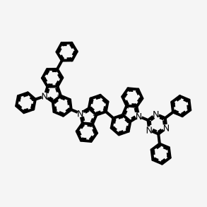 c1ccc(-c2ccc3c(c2)c2cc(-n4c5ccccc5c5c(-c6cccc7c6c6ccccc6n7-c6nc(-c7ccccc7)nc(-c7ccccc7)n6)cccc54)ccc2n3-c2ccccc2)cc1